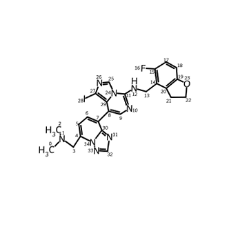 CN(C)Cc1ccc(-c2cnc(NCc3c(F)ccc4c3CCO4)n3cnc(I)c23)c2ncnn12